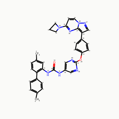 Cc1ccc(-c2ccc(C(F)(F)F)cc2NC(=O)Nc2cnc(Oc3ccc(-c4cnn5ccc(N6CCC6)nc45)cc3)nc2)cc1